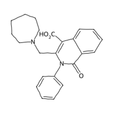 O=C(O)c1c(CN2CCCCCC2)n(-c2ccccc2)c(=O)c2ccccc12